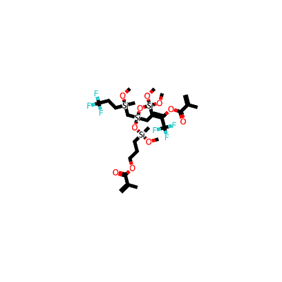 C=C(C)C(=O)OCCC[Si](C)(OC)O[Si](CCCOC(=O)C(=C)C)(C[Si](C)(CCC(F)(F)F)OC)O[Si](CCC(F)(F)F)(OC)OC